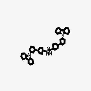 c1cc(-c2ccc(-c3nnc(-c4ccc(-c5cccc(-n6c7ccccc7c7ccccc76)c5)cc4)o3)cc2)cc(-n2c3ccccc3c3ccccc32)c1